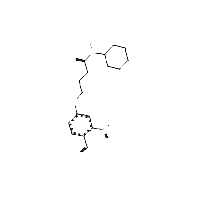 CN(C(=O)CCCOc1ccc(C=O)c([N+](=O)[O-])c1)C1CCCCC1